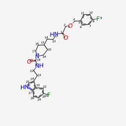 O=C(COCc1ccc(F)cc1)NCCC1CCN(C(=O)NCCc2c[nH]c3ccc(F)cc23)CC1